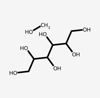 CO.OCC(O)C(O)C(O)C(O)CO